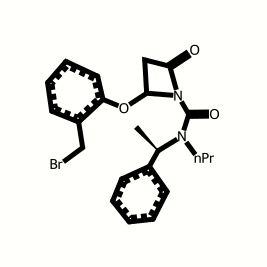 CCCN(C(=O)N1C(=O)CC1Oc1ccccc1CBr)[C@H](C)c1ccccc1